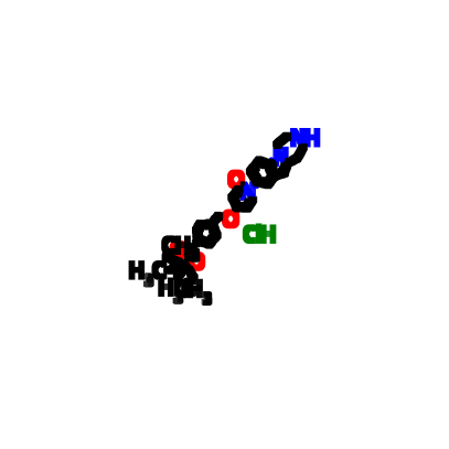 CCC1(CC)OB(c2ccc(COc3ccn(-c4ccc5c(c4)cc4n5CCNCC4)c(=O)c3)cc2)OC1(CC)CC.Cl